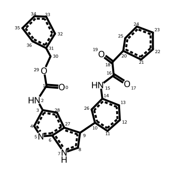 O=C(Nc1cnc2[nH]cc(-c3cccc(NC(=O)C(=O)c4ccccc4)c3)c2c1)OCc1ccccc1